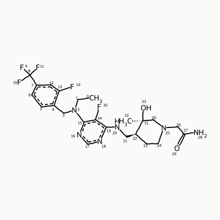 CCN(Cc1ccc(C(F)(F)F)cc1F)c1ncnc(NC[C@@H]2CCN(CC(N)=O)C[C@]2(C)O)c1F